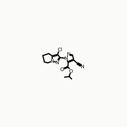 CC(C)OC(=O)c1c(C#N)cnn1-c1nn2c(c1Cl)CCCC2